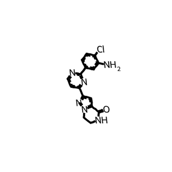 Nc1cc(-c2nccc(-c3cc4n(n3)CCNC4=O)n2)ccc1Cl